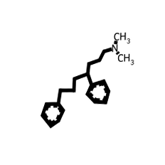 CN(C)CCCC(CCCc1ccccc1)c1ccccc1